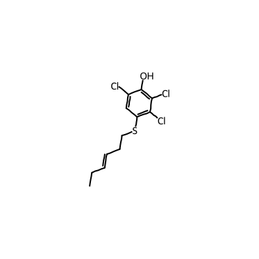 CCC=CCCSc1cc(Cl)c(O)c(Cl)c1Cl